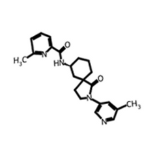 Cc1cncc(N2CCC3(CCC[C@H](NC(=O)c4cccc(C)n4)C3)C2=O)c1